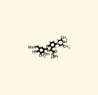 CN/C=C1/C=C(c2nc(C(=O)NC(C)C)c3cc(N4CC(C)NC(C)C4)ccc3n2)C(O)=C(C)C1=N